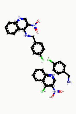 NCc1ccc(Cl)cc1.O=[N+]([O-])c1cnc2ccccc2c1Cl.O=[N+]([O-])c1cnc2ccccc2c1NCc1ccc(Cl)cc1